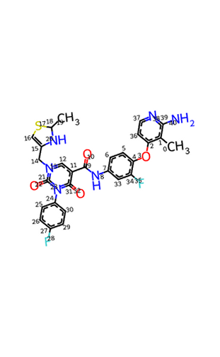 Cc1c(Oc2ccc(NC(=O)c3cn(CC4=CSC(C)N4)c(=O)n(-c4ccc(F)cc4)c3=O)cc2F)ccnc1N